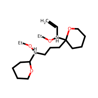 C=C[SiH](OCC)C1(CCC[SiH](OCC)C2CCCCO2)CCCCO1